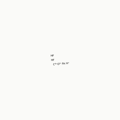 F.F.F.[C+4].[H+].[O-2]